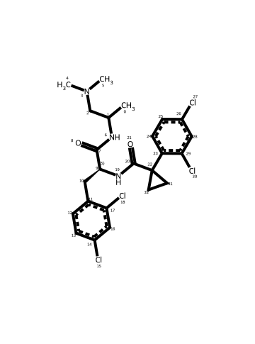 CC(CN(C)C)NC(=O)[C@H](Cc1ccc(Cl)cc1Cl)NC(=O)C1(c2ccc(Cl)cc2Cl)CC1